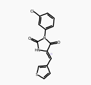 O=C1N/C(=C\c2ccsc2)C(=O)N1c1cccc(Cl)c1